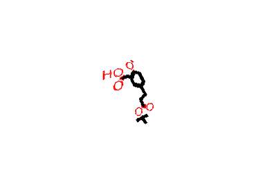 COc1ccc(CCC(=O)OC(C)(C)C)cc1C(=O)O